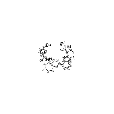 Cc1nn(C(C)C)c(C)c1-c1nc2c(-c3ccc4c(c3)CCCC[C@H]4NC(=O)c3nnc(C(C)(C)C)o3)ccnc2[nH]1